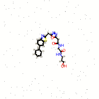 O=C(CNC(=O)Cc1nnc(Cc2nc3ccc(-c4ccccc4)cc3s2)o1)NCCCO